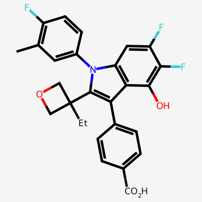 CCC1(c2c(-c3ccc(C(=O)O)cc3)c3c(O)c(F)c(F)cc3n2-c2ccc(F)c(C)c2)COC1